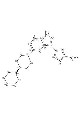 COc1nc(-c2c[nH]c3ncc([C@H]4CC[C@H](N5CCOCC5)CC4)cc23)cs1